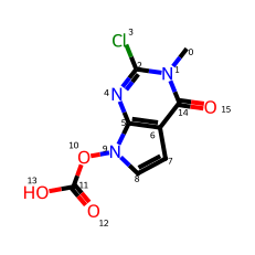 Cn1c(Cl)nc2c(ccn2OC(=O)O)c1=O